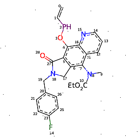 C=CPOc1c2c(c(N(C)C(=O)OCC)c3cccnc13)CN(Cc1ccc(F)cc1)C2=O